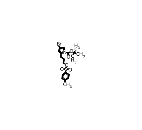 Cc1ccc(S(=O)(=O)OCCCc2cc(Br)cn2C(=O)OC(C)(C)C)cc1